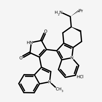 CC(C)[C@@H](N)[C@H]1CCc2c(c(C3=C(c4cn(C)c5ccccc45)C(=O)NC3=O)c3ccccn23)C1.Cl